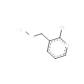 Nc1ncccc1COC=O